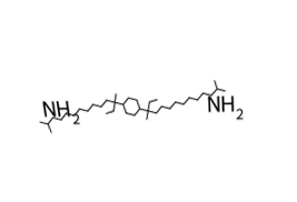 CCC(C)(CCCCCCCCC(N)C(C)C)C1CCC(C(C)(CC)CCCCCCCCC(N)C(C)C)CC1